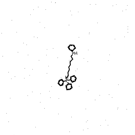 c1ccc(PCCCCCCCCC[PH](c2ccccc2)(c2ccccc2)c2ccccc2)cc1